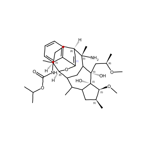 CO[C@H](C)C[C@]1(O)C2CC(C(C)C3C[C@H](C)[C@H](OC)[C@@]31O)[C@@H]1O/C(c3ccccc3NC(=O)OC(C)C)=C/[C@@H](CC[C@@H]1C)[C@]2(C)N